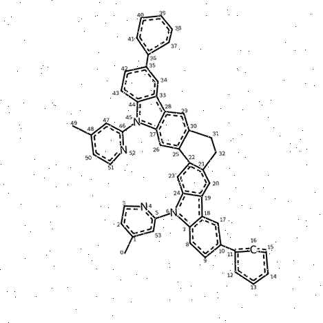 Cc1ccnc(-n2c3ccc(-c4ccccc4)cc3c3cc4c(cc32)-c2cc3c(cc2CC4)c2cc(-c4ccccc4)ccc2n3-c2cc(C)ccn2)c1